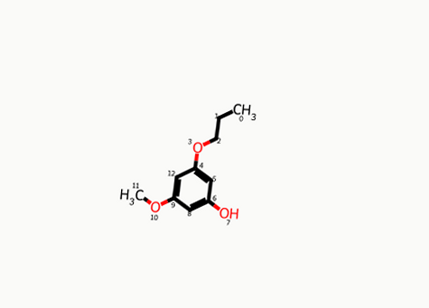 CCCOc1cc(O)cc(OC)c1